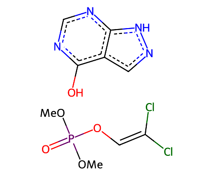 COP(=O)(OC)OC=C(Cl)Cl.Oc1ncnc2[nH]ncc12